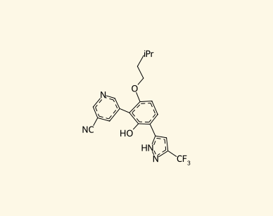 CC(C)CCOc1ccc(-c2cc(C(F)(F)F)n[nH]2)c(O)c1-c1cncc(C#N)c1